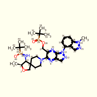 C[C@@H]1OCC2(CCN(c3nc4cnn(-c5cccc6c5cnn6C)c4nc3COS(=O)C(C)(C)C)CC2)[C@@H]1N[S+]([O-])C(C)(C)C